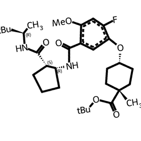 COc1cc(F)c(O[C@H]2CC[C@@](C)(C(=O)OC(C)(C)C)CC2)cc1C(=O)N[C@@H]1CCC[C@@H]1C(=O)N[C@H](C)C(C)(C)C